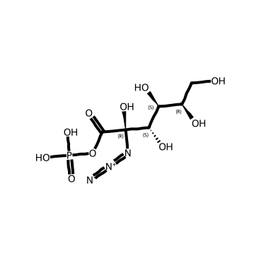 [N-]=[N+]=N[C@](O)(C(=O)OP(=O)(O)O)[C@@H](O)[C@@H](O)[C@H](O)CO